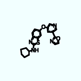 c1coc(-c2cncc(Oc3ccc4nc(NC5CCCCC5)sc4c3)c2)n1